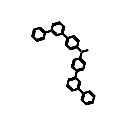 CN(c1ccc(-c2cccc(-c3ccccc3)c2)cc1)c1ccc(-c2cccc(-c3ccccc3)c2)cc1